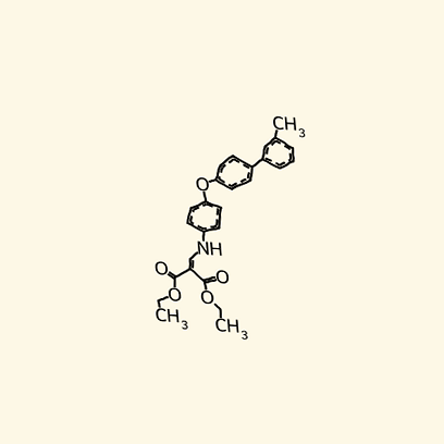 CCOC(=O)C(=CNc1ccc(Oc2ccc(-c3cccc(C)c3)cc2)cc1)C(=O)OCC